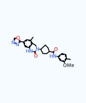 COc1cc(NC(=O)C2CCC(N3Cc4c(C)cc(-c5nnco5)cc4NC3=O)CC2)ccc1C